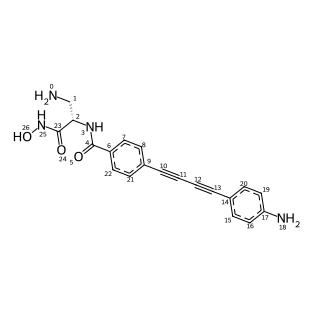 NC[C@H](NC(=O)c1ccc(C#CC#Cc2ccc(N)cc2)cc1)C(=O)NO